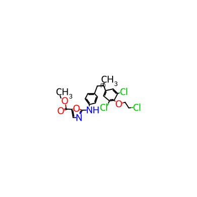 CCOC(=O)c1cnc(Nc2ccc(C[C@@H](C)c3cc(Cl)c(OCCCl)c(Cl)c3)cc2)o1